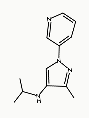 Cc1nn(-c2cccnc2)cc1NC(C)C